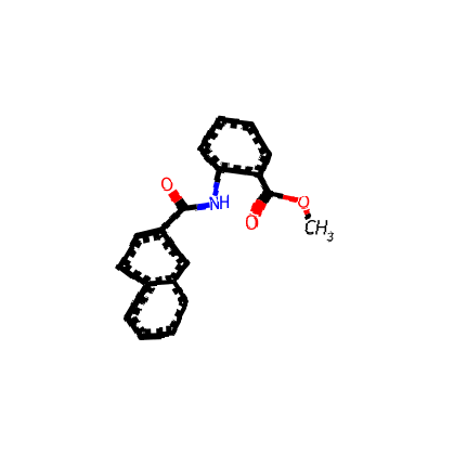 COC(=O)c1ccccc1NC(=O)c1ccc2ccccc2c1